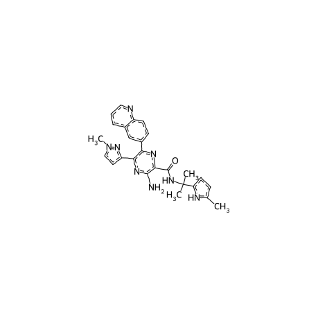 Cc1ccc(C(C)(C)NC(=O)c2nc(-c3ccc4ncccc4c3)c(-c3ccn(C)n3)nc2N)[nH]1